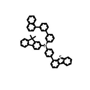 CC1(C)c2ccccc2-c2ccc(N(c3ccc(-c4cccc5c4sc4ccccc45)cc3)c3cccc(-c4cccc(-c5cccc6ccccc56)c4)c3)cc21